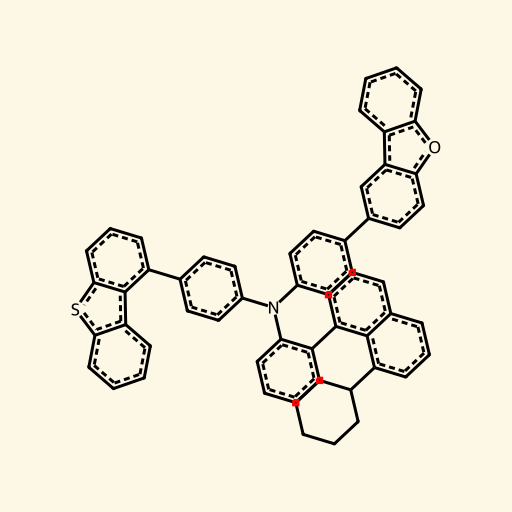 c1ccc(N(c2ccc(-c3ccc4oc5ccccc5c4c3)cc2)c2ccc(-c3cccc4sc5ccccc5c34)cc2)c(-c2cccc3cccc(C4CCCCC4)c23)c1